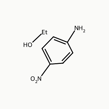 CCO.Nc1ccc([N+](=O)[O-])cc1